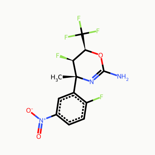 C[C@]1(c2cc([N+](=O)[O-])ccc2F)N=C(N)O[C@H](C(F)(F)F)[C@@H]1F